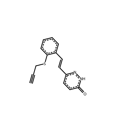 C#CCSc1ccccc1C=Cc1ccc(=O)[nH]n1